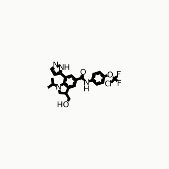 CC(C)N1CC(CO)c2cc(C(=O)Nc3ccc(OC(F)(F)Cl)cc3)cc(-c3ccn[nH]3)c21